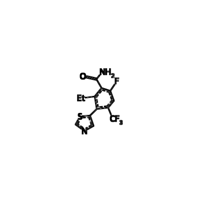 CCc1c(C(N)=O)c(F)cc(C(F)(F)F)c1-c1cncs1